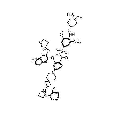 CC(C)c1ccccc1[C@H]1CCCN1C1CC2(CCN(c3ccc(C(=O)NS(=O)(=O)c4cc5c(c([N+](=O)[O-])c4)N[C@@H](C4CCC(C)(O)CC4)CO5)c(Oc4cc5cc[nH]c5nc4O[C@@H]4CCOC4)c3)CC2)C1